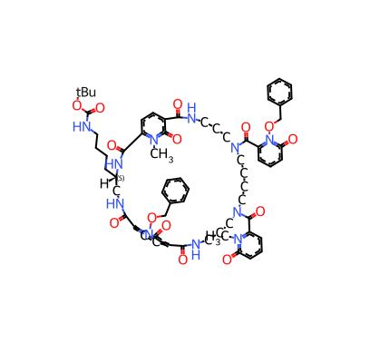 Cn1c(C(=O)N2CCCCN(C(=O)c3cccc(=O)n3OCc3ccccc3)CCCNC(=O)c3ccc(n(C)c3=O)C(=O)N[C@@H](CCCCNC(=O)OC(C)(C)C)CNC(=O)c3ccc(c(=O)n3OCc3ccccc3)C(=O)NCCC2)cccc1=O